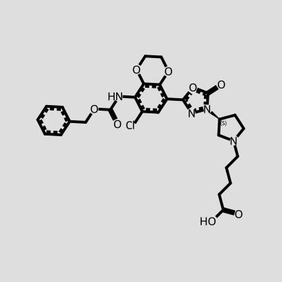 O=C(O)CCCCN1CC[C@H](n2nc(-c3cc(Cl)c(NC(=O)OCc4ccccc4)c4c3OCCO4)oc2=O)C1